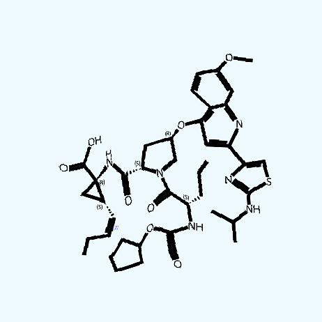 CC/C=C\[C@@H]1C[C@]1(NC(=O)[C@@H]1C[C@@H](Oc2cc(-c3csc(NC(C)C)n3)nc3cc(OC)ccc23)CN1C(=O)[C@H](CCC)NC(=O)OC1CCCC1)C(=O)O